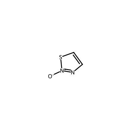 [O-][n+]1nccs1